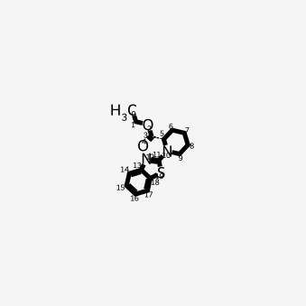 CCOC(=O)[C@@H]1CCCCN1c1nc2ccccc2s1